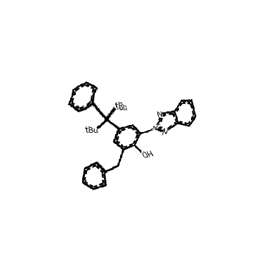 CC(C)(C)C(c1ccccc1)(c1cc(Cc2ccccc2)c(O)c(-n2nc3ccccc3n2)c1)C(C)(C)C